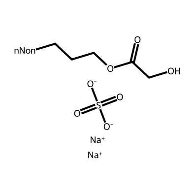 CCCCCCCCCCCCOC(=O)CO.O=S(=O)([O-])[O-].[Na+].[Na+]